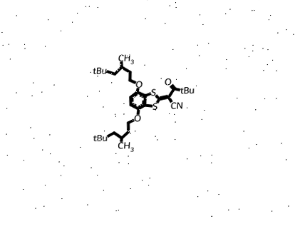 CC(CCOc1ccc(OCCC(C)CC(C)(C)C)c2c1SC(=C(C#N)C(=O)C(C)(C)C)S2)CC(C)(C)C